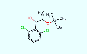 C[C@H](O[Si](C)(C)C(C)(C)C)[C@@H](O)c1c(Cl)cccc1Cl